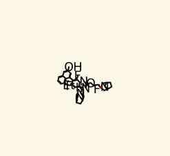 CCc1cccc2cc(O)cc(-c3c(F)cc4c(N5CC6CCC(C5)N6)nc(OCCCN5C6CCC5CC(F)C6)nc4c3F)c12